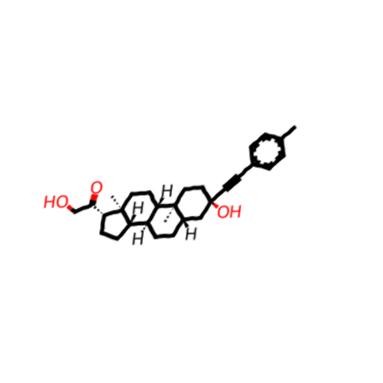 Cc1ccc(C#C[C@@]2(O)CC[C@@]3(C)[C@@H](CC[C@@H]4[C@@H]3CC[C@]3(C)[C@@H](C(=O)CO)CC[C@@H]43)C2)cc1